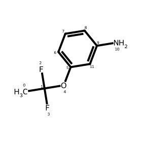 CC(F)(F)Oc1cccc(N)c1